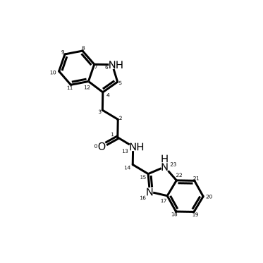 O=C(CCc1c[nH]c2ccccc12)NCc1nc2ccccc2[nH]1